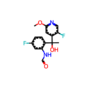 COc1cc(C(C)(O)c2ccc(F)cc2NC=O)c(F)cn1